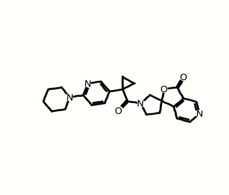 O=C1OC2(CCN(C(=O)C3(c4ccc(N5CCCCC5)nc4)CC3)C2)c2ccncc21